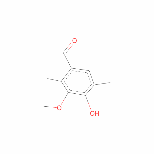 COc1c(C)c(C=O)cc(C)c1O